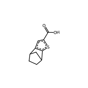 O=C(O)c1cc2c(s1)C1CCC2C1